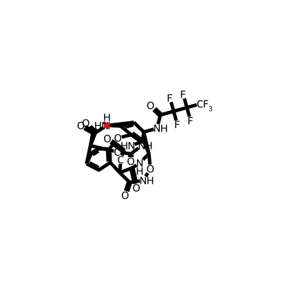 O=C1CC23C(=O)NOC4(NC2=O)C(=C2Oc5ccc(cc53)C35CC(=O)NC4(NC(=O)C(F)(F)C(F)(F)C(F)(F)F)C(=C2NC3=O)NC5=O)N1